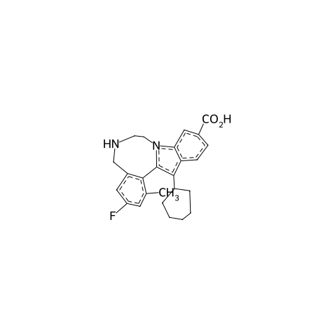 Cc1cc(F)cc2c1-c1c(C3CCCCC3)c3ccc(C(=O)O)cc3n1CCNC2